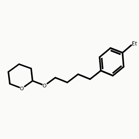 CCc1ccc(CCCCOC2CCCCO2)cc1